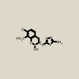 Nc1nnc(S[C@H]2Cc3ccc(Cl)c(C(=O)O)c3OB2O)s1